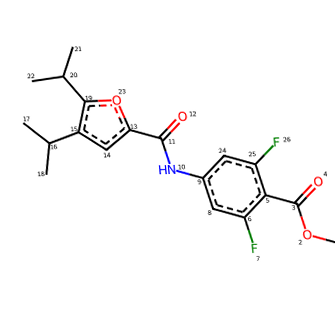 CCOC(=O)c1c(F)cc(NC(=O)c2cc(C(C)C)c(C(C)C)o2)cc1F